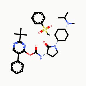 CC(C)N(C)[C@@H]1CC[C@H](N2CC[C@H](NC(=O)Oc3nc(C(C)(C)C)ncc3-c3ccccc3)C2=O)[C@H](CS(=O)(=O)c2ccccc2)C1